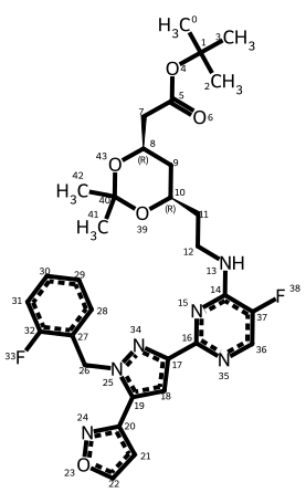 CC(C)(C)OC(=O)C[C@H]1C[C@@H](CCNc2nc(-c3cc(-c4ccon4)n(Cc4ccccc4F)n3)ncc2F)OC(C)(C)O1